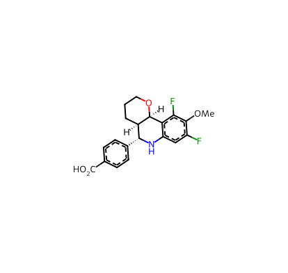 COc1c(F)cc2c(c1F)[C@@H]1OCCC[C@@H]1[C@@H](c1ccc(C(=O)O)cc1)N2